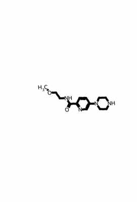 COCCNC(=O)c1ccc(N2CCNCC2)cn1